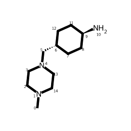 CN1CCN(C[C@H]2CC[C@H](N)CC2)CC1